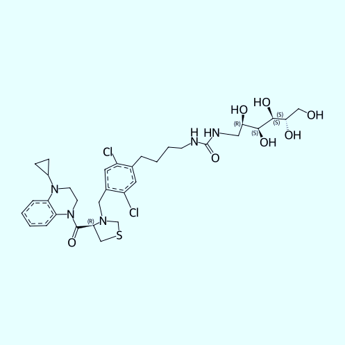 O=C(NCCCCc1cc(Cl)c(CN2CSC[C@H]2C(=O)N2CCN(C3CC3)c3ccccc32)cc1Cl)NC[C@@H](O)[C@H](O)[C@@H](O)[C@@H](O)CO